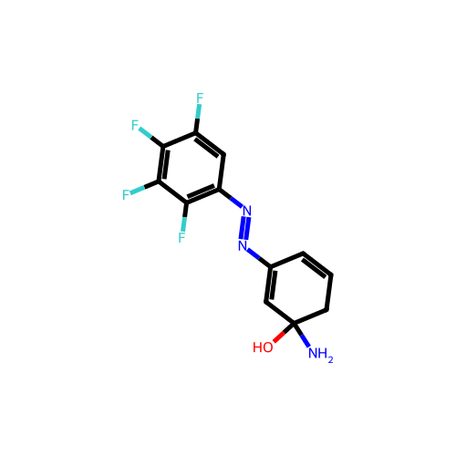 NC1(O)C=C(N=Nc2cc(F)c(F)c(F)c2F)C=CC1